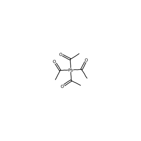 C[C](=O)[Pb]([C](C)=O)([C](C)=O)[C](C)=O